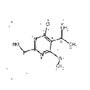 COc1nc(CO)nc(Cl)c1C(C)C